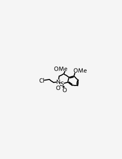 COc1cccc2c1C(OC)CN(CCCl)S2(=O)=O